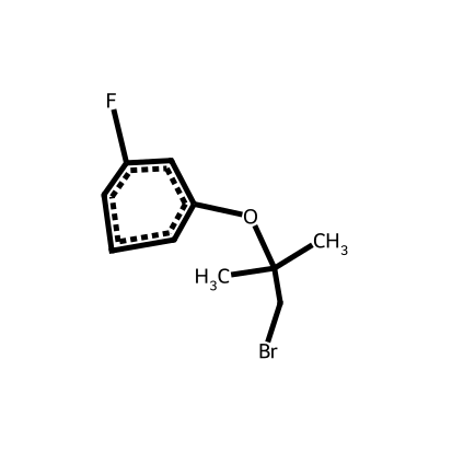 CC(C)(CBr)Oc1cccc(F)c1